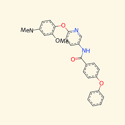 CNc1ccc(Oc2ccc(NC(=O)c3ccc(Oc4ccccc4)cc3)cn2)c(OC)c1